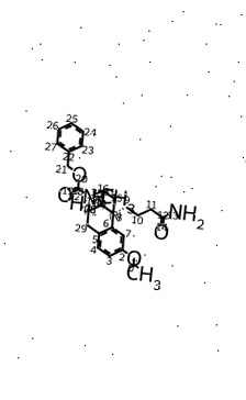 COc1ccc2c(c1)[C@]1(CCCC(N)=O)CCN(C(=O)OCc3ccccc3)[C@H](C2)[C@@H]1C